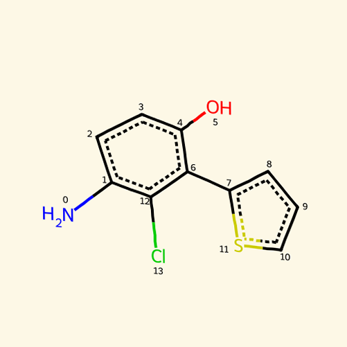 Nc1ccc(O)c(-c2cccs2)c1Cl